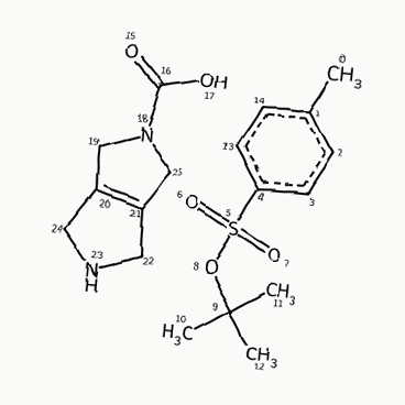 Cc1ccc(S(=O)(=O)OC(C)(C)C)cc1.O=C(O)N1CC2=C(CNC2)C1